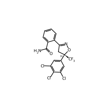 NC(=O)c1ccccc1C1=NO[C@@](c2cc(Cl)c(Cl)c(Cl)c2)(C(F)(F)F)C1